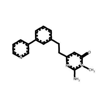 Cn1c(N)nc(CCc2cccc(-c3cccnc3)c2)cc1=O